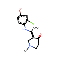 CSC(Nc1ccc(Br)cc1F)=C1CN(C(C)=O)CCC1=O